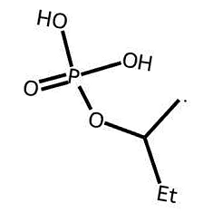 [CH2]C(CC)OP(=O)(O)O